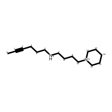 CC#CCCCNCCCCN1CCCCC1